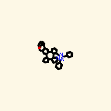 C1=CC2C3C4c5cc6c(cc5C1C=CC243)-c1ccccc1-c1ccccc1-c1c(-c2nc(-c3ccccc3)nc(-c3ccccc3)n2)cccc1-6